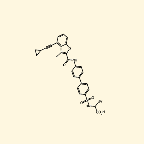 Cc1c(C(=O)Nc2ccc(-c3ccc(S(=O)(=O)NC(C(=O)O)C(C)C)cc3)cc2)oc2cccc(C#CC3CC3)c12